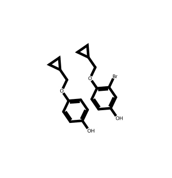 Oc1ccc(OCC2CC2)c(Br)c1.Oc1ccc(OCC2CC2)cc1